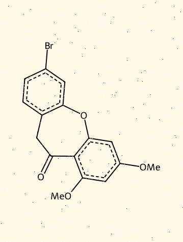 COc1cc(OC)c2c(c1)Oc1cc(Br)ccc1CC2=O